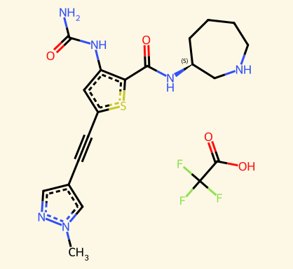 Cn1cc(C#Cc2cc(NC(N)=O)c(C(=O)N[C@H]3CCCCNC3)s2)cn1.O=C(O)C(F)(F)F